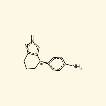 Nc1ccc([C@H]2CCCc3n[nH]cc32)cc1